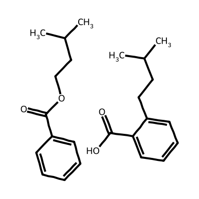 CC(C)CCOC(=O)c1ccccc1.CC(C)CCc1ccccc1C(=O)O